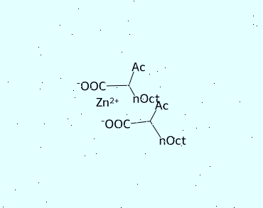 CCCCCCCCC(C(C)=O)C(=O)[O-].CCCCCCCCC(C(C)=O)C(=O)[O-].[Zn+2]